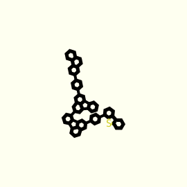 c1ccc2c(c1)-c1cc(-c3ccc(-c4ccc5c(ccc6ccccc65)c4)cc3)cc3cc(-c4cccc5c4-c4cc(-c6ccc(-c7cccc8c7sc7ccccc78)cc6)cc6cccc-5c46)cc-2c13